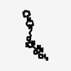 Cc1nnc(-c2csc(OCCCN3CCN(c4ccccc4)CC3)n2)o1